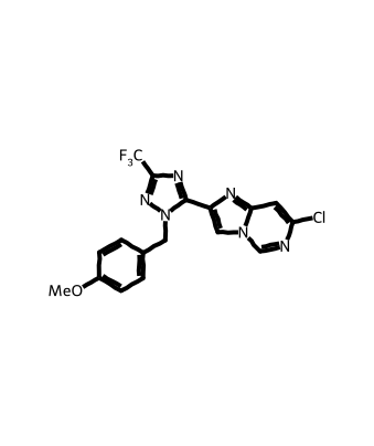 COc1ccc(Cn2nc(C(F)(F)F)nc2-c2cn3cnc(Cl)cc3n2)cc1